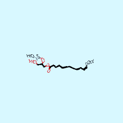 CCCCCCCC/C=C\CCCCCCCC(=O)OCC(CO)OS(=O)(=O)O